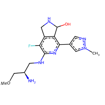 COC[C@H](N)CNc1nc(-c2cnn(C)c2)c2c(c1F)CNC2O